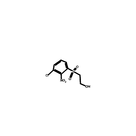 O=[N+]([O-])c1c(Cl)cccc1S(=O)(=O)CCO